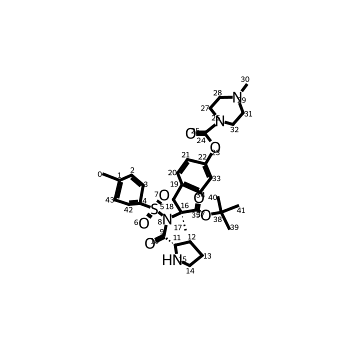 Cc1ccc(S(=O)(=O)N(C(=O)[C@@H]2CCCN2)[C@@](C)(Cc2ccc(OC(=O)N3CCN(C)CC3)cc2)C(=O)OC(C)(C)C)cc1